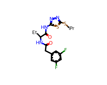 CCC(NC(=O)Cc1cc(F)cc(F)c1)C(=O)Nc1nnc(SC(C)C)s1